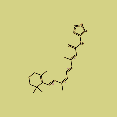 CC1=C(/C=C/C(C)=C\C=C\C(C)=C\C(=O)Nc2nnn[nH]2)C(C)(C)CCC1